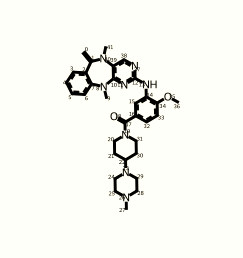 C=C1c2ccccc2N(C)c2nc(Nc3cc(C(=O)N4CCC(N5CCN(C)CC5)CC4)ccc3OC)ncc2N1C